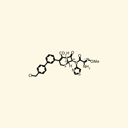 CO/N=C(\N)C(=O)N(c1cscn1)[C@@H]1C(=O)N2C(C(=O)O)=C(c3cccc(-c4ccc(CCl)cc4)c3)CS[C@@H]12